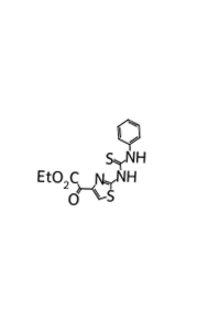 CCOC(=O)C(=O)c1csc(NC(=S)Nc2ccccc2)n1